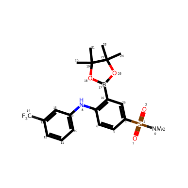 CNS(=O)(=O)c1ccc(Nc2cccc(C(F)(F)F)c2)c(B2OC(C)(C)C(C)(C)O2)c1